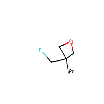 CC(C)C1(CF)COC1